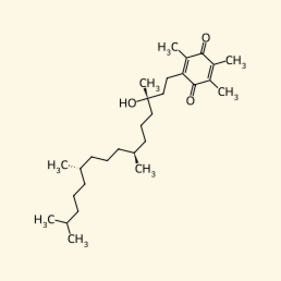 CC1=C(C)C(=O)C(CC[C@@](C)(O)CCC[C@@H](C)CCC[C@@H](C)CCCC(C)C)=C(C)C1=O